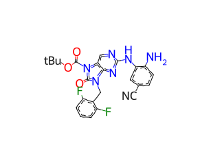 CC(C)(C)OC(=O)n1c(=O)n(Cc2c(F)cccc2F)c2nc(Nc3cc(C#N)ccc3N)ncc21